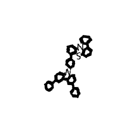 c1ccc(-c2ccc3c(c2)c2cc(-c4ccccc4)ccc2n3-c2ccc(-c3cccc4c3Sc3cccc5c6ccccc6n-4c35)cc2)cc1